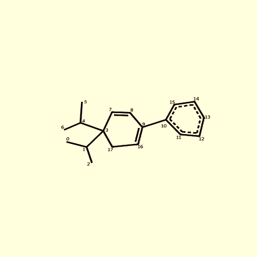 CC(C)C1(C(C)C)C=CC(c2ccccc2)=CC1